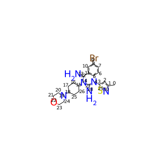 Cc1cc(N2c3ccc(Br)cc3C(N)N(C3CCC(N4CCOCC4)CC3)C2N)sn1